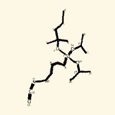 CCCC(C)(C)O[Si](CCCN=C=O)(OC(C)C)OC(C)C